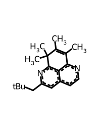 CC1=C(C)C(C)(C)c2nc(CC(C)(C)C)cc3ccnc1c23